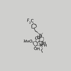 C=CCN1CC[C@]23c4c5c(O)cc(OC)c4O[C@H]2[C@@H](N(C)CC=Cc2ccc(C(F)(F)F)cc2)CC[C@H]3[C@H]1C5